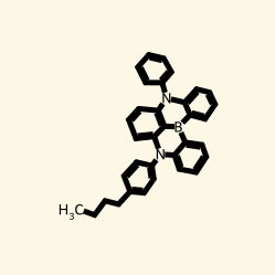 CCCCc1ccc(N2c3ccccc3B3c4ccccc4N(c4ccccc4)c4cccc2c43)cc1